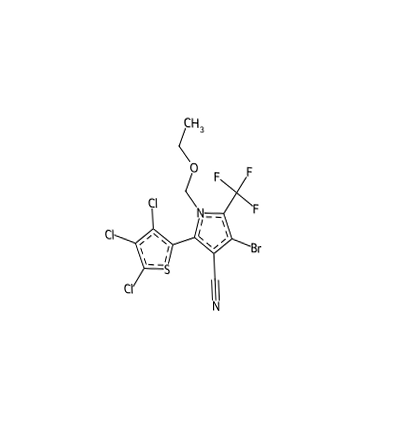 CCOCn1c(-c2sc(Cl)c(Cl)c2Cl)c(C#N)c(Br)c1C(F)(F)F